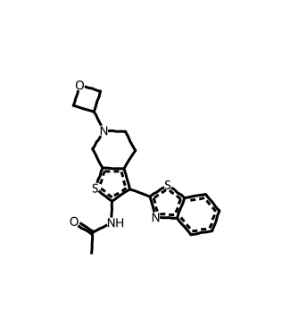 CC(=O)Nc1sc2c(c1-c1nc3ccccc3s1)CCN(C1COC1)C2